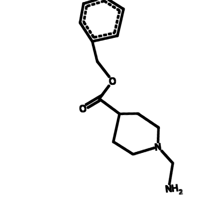 NCN1CCC(C(=O)OCc2ccccc2)CC1